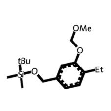 CCc1ccc(CO[Si](C)(C)C(C)(C)C)cc1OCOC